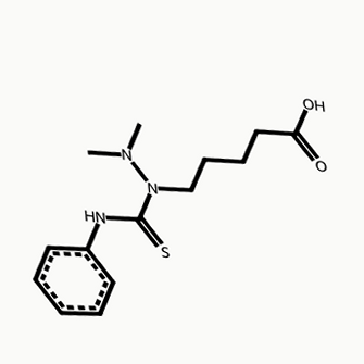 CN(C)N(CCCCC(=O)O)C(=S)Nc1ccccc1